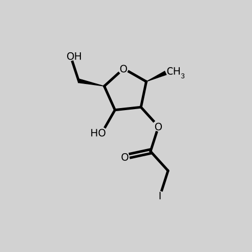 C[C@@H]1O[C@H](CO)C(O)C1OC(=O)CI